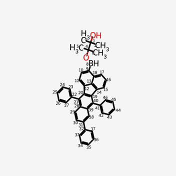 CC(C)(O)C(C)(C)OBc1ccc2c3c(cccc13)-c1c-2c(-c2ccccc2)c2ccc(-c3ccccc3)cc2c1-c1ccccc1